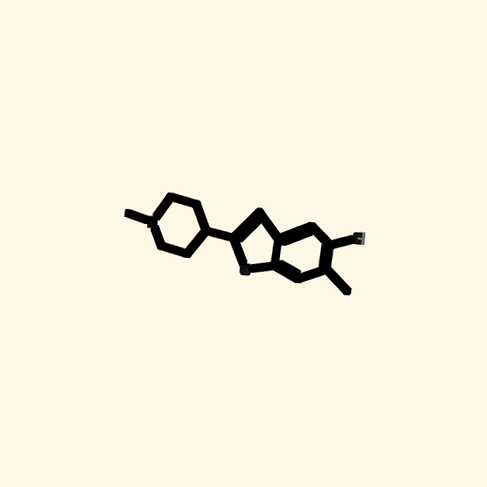 Cc1cc2oc(C3CCN(C)CC3)cc2cc1Cl